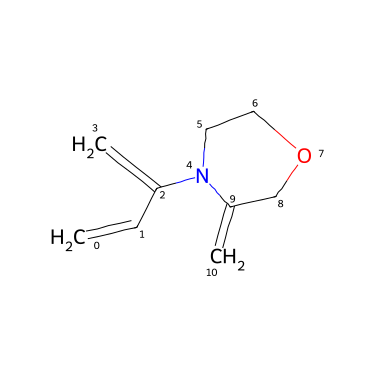 C=CC(=C)N1CCOCC1=C